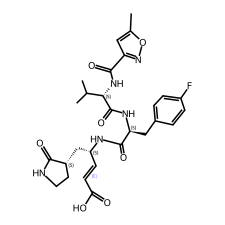 Cc1cc(C(=O)N[C@H](C(=O)N[C@@H](Cc2ccc(F)cc2)C(=O)N[C@H](/C=C/C(=O)O)C[C@@H]2CCNC2=O)C(C)C)no1